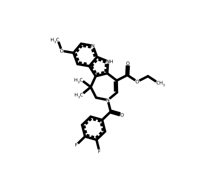 CCOC(=O)C1=CN(C(=O)c2ccc(F)c(F)c2)CC(C)(C)c2c1[nH]c1ncc(OC)cc21